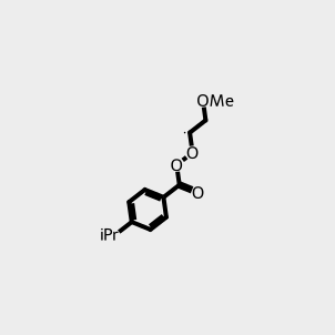 COC[CH]OOC(=O)c1ccc(C(C)C)cc1